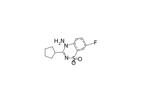 NN1C(C2CCCC2)=NS(=O)(=O)c2cc(F)ccc21